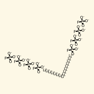 O=P([O-])([O-])F.O=P([O-])([O-])F.O=P([O-])([O-])F.O=P([O-])([O-])F.O=P([O-])([O-])F.O=P([O-])([O-])F.O=P([O-])([O-])F.O=P([O-])([O-])F.[Li+].[Li+].[Li+].[Li+].[Li+].[Li+].[Li+].[Li+].[Li+].[Li+].[Li+].[Li+].[Li+].[Li+].[Li+].[Li+]